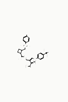 C[C@@H](C1CCC1C(=O)NCc1cn(-c2ccc(C(F)(F)F)cc2)nc1C(F)F)S(=O)(=O)c1ccc(F)cc1